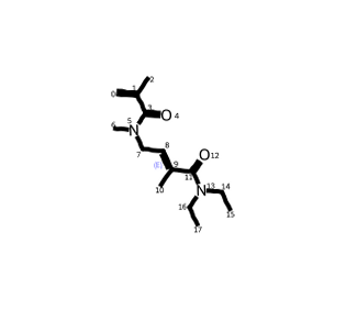 C=C(C)C(=O)N(C)C/C=C(\C)C(=O)N(CC)CC